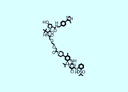 Cc1cc(Nc2ncc(Cl)c(Nc3ccccc3S(=O)(=O)C(C)C)n2)c(OC(C)C)cc1C1CCN(C(=O)COCCOCC(=O)N[C@H](C(=O)N2C[C@@H](O)C[C@H]2C(=O)NCc2ccc(-c3scnc3C)cc2)C(C)(C)C)CC1